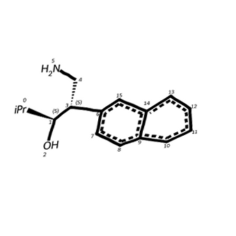 CC(C)[C@H](O)[C@H](CN)c1ccc2ccccc2c1